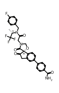 C[C@H](N(Cc1ccc(F)cc1)C(=O)CN1CO[C@]2(C(=O)Cc3cc(-c4ccc(C(N)=O)cc4)ccc32)C1=O)C(F)(F)F